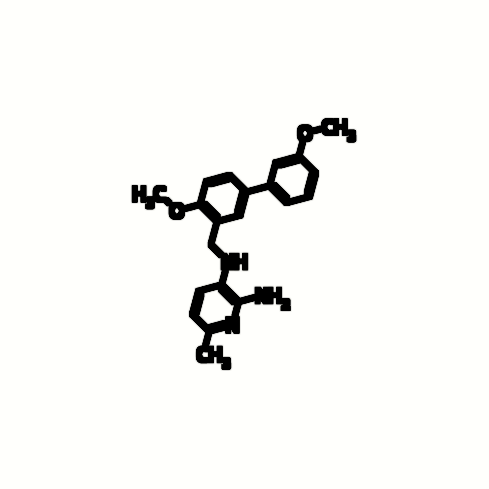 COc1cccc(-c2ccc(OC)c(CNc3ccc(C)nc3N)c2)c1